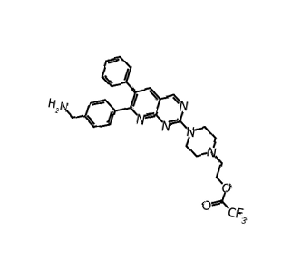 NCc1ccc(-c2nc3nc(N4CCN(CCOC(=O)C(F)(F)F)CC4)ncc3cc2-c2ccccc2)cc1